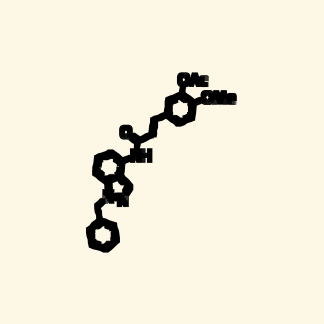 COc1ccc(C=CC(=O)Nc2cccc3c2cnn3Cc2ccccc2)cc1OC(C)=O